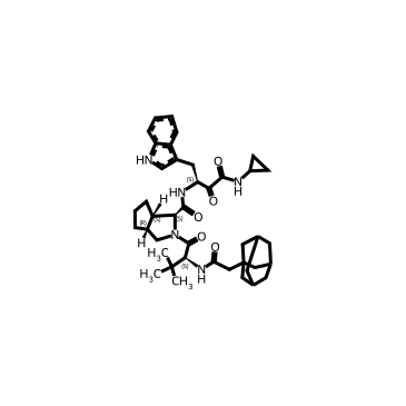 CC(C)(C)[C@H](NC(=O)CC12CC3CC(CC(C3)C1)C2)C(=O)N1C[C@@H]2CCC[C@@H]2[C@H]1C(=O)N[C@@H](Cc1c[nH]c2ccccc12)C(=O)C(=O)NC1CC1